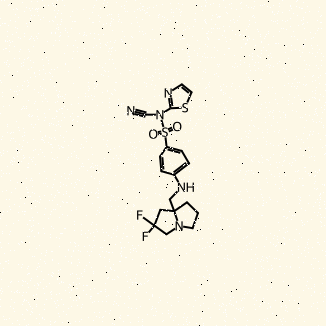 N#CN(c1nccs1)S(=O)(=O)c1ccc(NCC23CCCN2CC(F)(F)C3)cc1